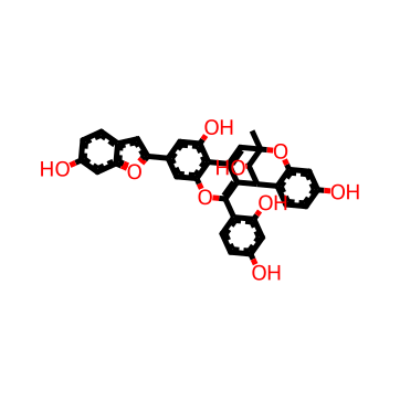 CC12C=C3C(=C(c4ccc(O)cc4O)Oc4cc(-c5cc6ccc(O)cc6o5)cc(O)c43)C(c3ccc(O)cc3O1)C2O